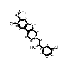 COc1cc2[nH]c3c(c2cc1Cl)CCN(CC(O)c1cccc(Cl)c1)C3